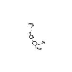 CCCCOCCOc1ccc(-c2ccc(OC)c(CO)c2)cc1